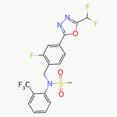 CS(=O)(=O)N(Cc1ccc(-c2nnc(C(F)F)o2)cc1F)c1ccccc1C(F)(F)F